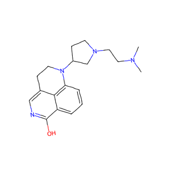 CN(C)CCN1CCC(N2CCc3cnc(O)c4cccc2c34)C1